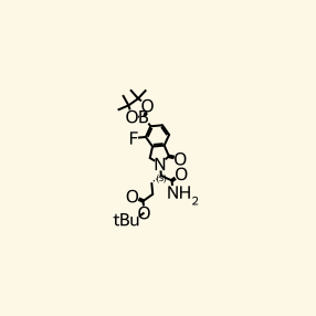 CC(C)(C)OC(=O)CC[C@@H](C(N)=O)N1Cc2c(ccc(B3OC(C)(C)C(C)(C)O3)c2F)C1=O